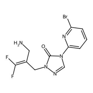 NCC(Cn1ncn(-c2cccc(Br)n2)c1=O)=C(F)F